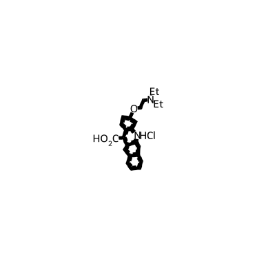 CCN(CC)CCOc1ccc2c(C(=O)O)c3cc4ccccc4cc3nc2c1.Cl